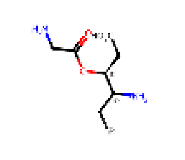 CC(C)C[C@H](N)[C@H](CC(=O)O)OC(=O)CN